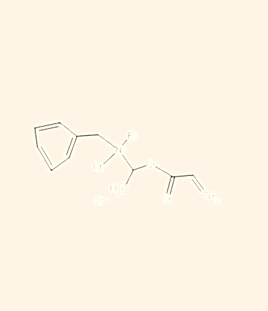 C=CC(=O)OC(C)[N+](CC)(CC)Cc1ccccc1.[Br-]